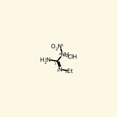 CCN=C(N)N[N+](=O)[O-].Cl